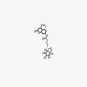 Cc1cc(=O)oc2cc(OC(=O)CCCC[C@@H]3SC[C@@H]4NC(=O)N[C@@H]43)ccc12